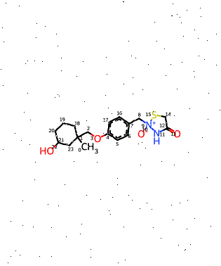 CC1(COc2ccc(C[N+]3([O-])NC(=O)CS3)cc2)CCCC(O)C1